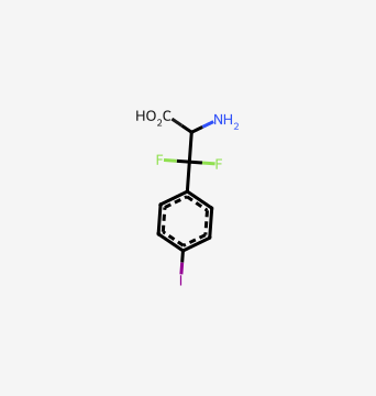 NC(C(=O)O)C(F)(F)c1ccc(I)cc1